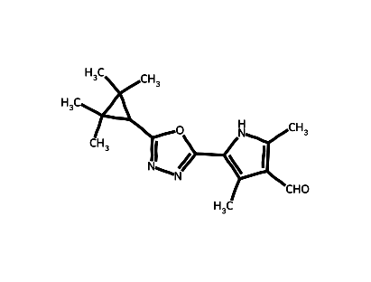 Cc1[nH]c(-c2nnc(C3C(C)(C)C3(C)C)o2)c(C)c1C=O